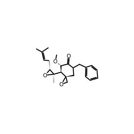 CO[C@@H]1C(=O)C(Cc2ccccc2)C[C@]2(CO2)[C@H]1[C@@]1(C)O[C@@H]1CC=C(C)C